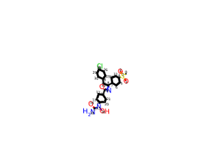 CS(=O)(=O)c1ccc(-c2nc(-c3ccc(N(O)C(N)=O)cc3)oc2-c2ccc(Cl)cc2)cc1